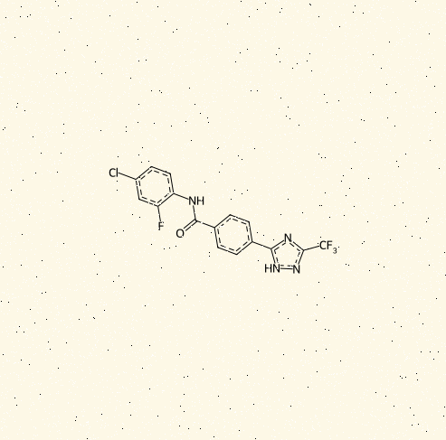 O=C(Nc1ccc(Cl)cc1F)c1ccc(-c2nc(C(F)(F)F)n[nH]2)cc1